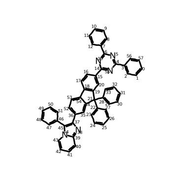 c1ccc(-c2nc(-c3ccccc3)nc(-c3ccc4c(c3)C(c3ccccc3)(c3ccccc3)c3cc(-c5nc6ccccn6c5-c5ccccc5)ccc3-4)n2)cc1